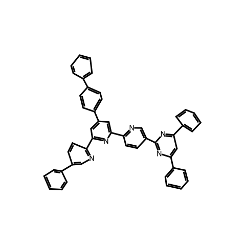 c1ccc(-c2ccc(-c3cc(-c4ccc(-c5ccccc5)cn4)nc(-c4ccc(-c5nc(-c6ccccc6)cc(-c6ccccc6)n5)cn4)c3)cc2)cc1